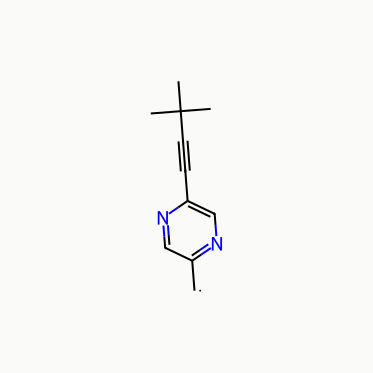 [CH2]c1cnc(C#CC(C)(C)C)cn1